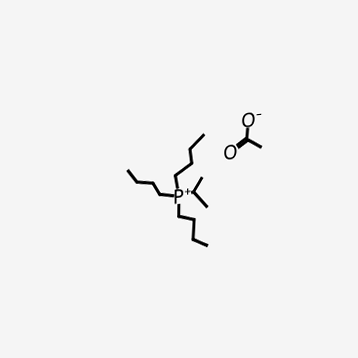 CC(=O)[O-].CCCC[P+](CCCC)(CCCC)C(C)C